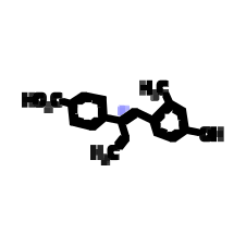 C=C/C(=C\c1ccc(O)cc1C)c1ccc(C(=O)O)cc1